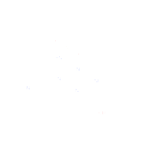 CC(C)CC(CO)Nc1nc(CC(C)c2ccc(Cl)cn2)nc(NS(C)(=O)=O)n1